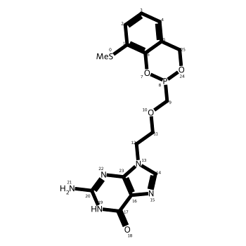 CSc1cccc2c1OP(COCCn1cnc3c(=O)[nH]c(N)nc31)OC2